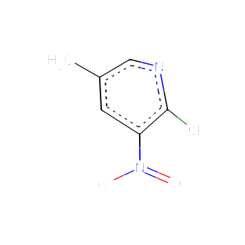 [CH2]c1cnc(Cl)c([N+](=O)[O-])c1